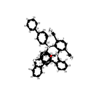 N#Cc1ccc(C#N)c(-n2c3ccccc3c3ccccc32)c1N(c1ccc(-c2ccccc2)cc1)c1ccc2c(c1)oc1ccccc12